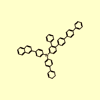 C1=CC(c2ccc(N(c3ccc(-c4ccc5ccccc5c4)cc3)c3ccc(-c4ccc(-c5ccc(-c6ccccc6)cc5)cc4)c(-c4ccccc4)c3)cc2)=CCC1